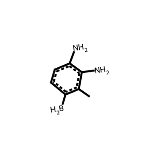 Bc1ccc(N)c(N)c1C